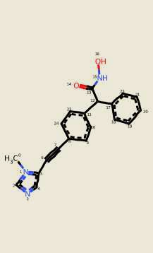 Cn1cncc1C#Cc1ccc(C(C(=O)NO)c2ccccc2)cc1